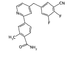 Cc1cc(-c2cc(Cc3cc(F)c(F)c(C#N)c3)ccn2)ccc1C(N)=O